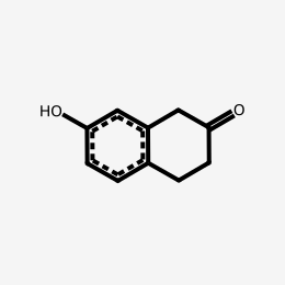 O=C1CCc2ccc(O)cc2C1